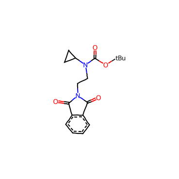 CC(C)(C)OC(=O)N(CCN1C(=O)c2ccccc2C1=O)C1CC1